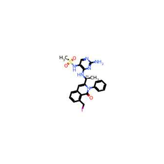 C[C@H](Nc1nc(N)ncc1NS(C)(=O)=O)c1cc2cccc(CI)c2c(=O)n1-c1ccccc1